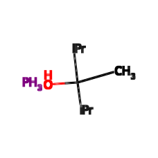 CC(C)C(C)(O)C(C)C.P